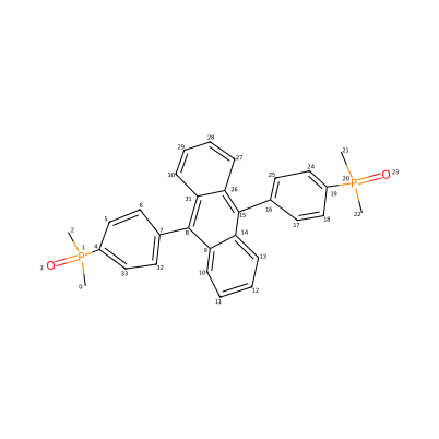 CP(C)(=O)c1ccc(-c2c3ccccc3c(-c3ccc(P(C)(C)=O)cc3)c3ccccc23)cc1